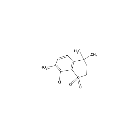 CC1(C)CCS(=O)(=O)c2c1ccc(C(=O)O)c2Cl